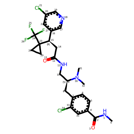 CNC(=O)c1ccc(C[C@@H](CNC(=O)C[C@H](c2cncc(Cl)c2)C2(C(F)(F)F)CC2)N(C)C)c(Cl)c1